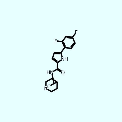 O=C(NC1CN2CCC1CC2)c1ccc(-c2ccc(F)cc2F)[nH]1